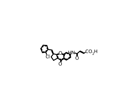 O=C(O)/C=C/C(=O)Nc1ccc2c(=O)c3c(oc2c1)C(=Cc1ccccc1Cl)CC3